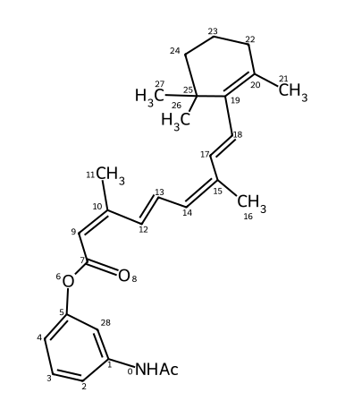 CC(=O)Nc1cccc(OC(=O)C=C(C)C=CC=C(C)C=CC2=C(C)CCCC2(C)C)c1